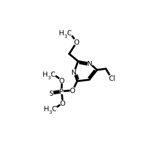 COCc1nc(CCl)cc(OP(=S)(OC)OC)n1